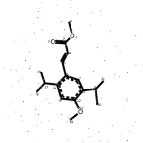 COC(=O)/C=C/c1cc(C(C)C)c(OC)cc1C(C)C